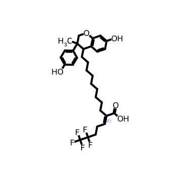 CC1(c2ccc(O)cc2)COc2cc(O)ccc2C1CCCCCCCCC/C(=C\CCC(F)(F)C(F)(F)F)C(=O)O